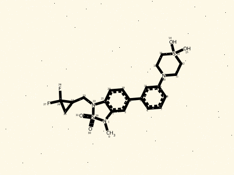 CN1c2cc(-c3cccc(N4CCS(O)(O)CC4)c3)ccc2N(CC2CC2(F)F)S1(=O)=O